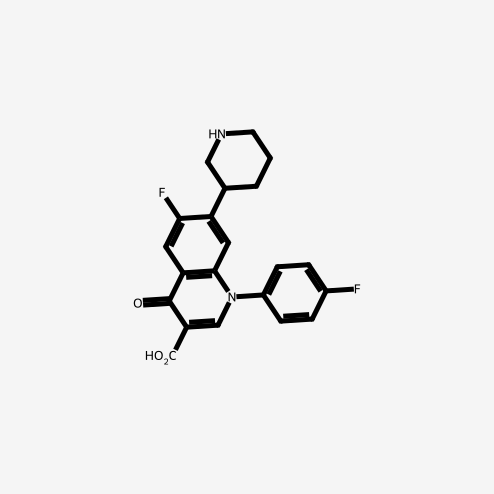 O=C(O)c1cn(-c2ccc(F)cc2)c2cc(C3CCCNC3)c(F)cc2c1=O